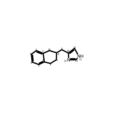 c1ccc2c(c1)CCC(Cc1c[nH]cn1)C2